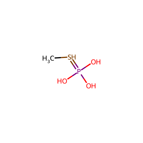 C[SH]=P(O)(O)O